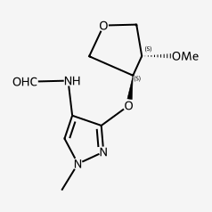 CO[C@H]1COC[C@@H]1Oc1nn(C)cc1NC=O